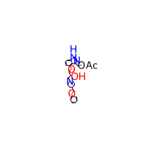 CC(=O)OCc1n[nH]c2cccc(OCC(O)CN3CCC(COc4ccccc4)CC3)c12